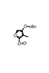 CCCCOc1coc(C=O)c1C